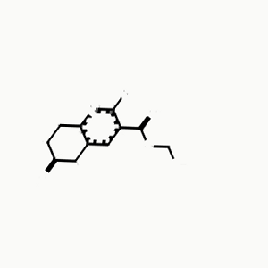 CCOC(=O)c1cc2c(nc1N)CCC(=O)C2